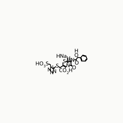 O=C(O)C1=C(CSc2nnnn2CS(=O)(=O)O)CS[C@@H]2[C@H](NC(=O)C(O)c3ccccc3)C(=O)N12.[NaH]